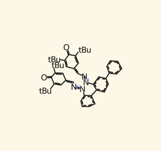 CC(C)(C)C1=CC(=C/N=N/c2ccccc2-c2ccc(-c3ccccc3)cc2/N=N/C=C2C=C(C(C)(C)C)C(=O)C(C(C)(C)C)=C2)C=C(C(C)(C)C)C1=O